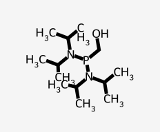 CC(C)N(C(C)C)P(CO)N(C(C)C)C(C)C